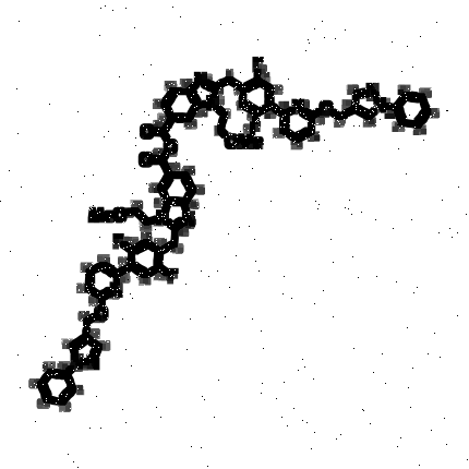 COCCn1c(Cc2cc(F)c(-c3cccc(OCc4cnn(-c5ccccc5)c4)n3)cc2F)nc2ccc(C(=O)OC(=O)c3ccc4nc(Cc5cc(F)c(-c6cccc(OCc7cnn(-c8ccccc8)c7)n6)cc5F)n(CCOC)c4c3)cc21